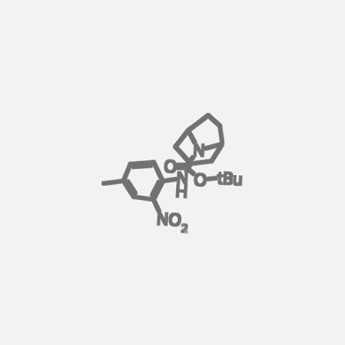 Cc1ccc(NC2CC3CCC(C2)N3C(=O)OC(C)(C)C)c([N+](=O)[O-])c1